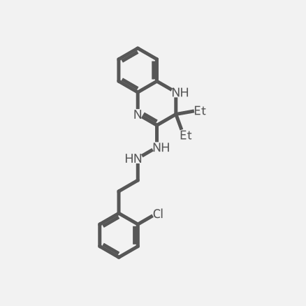 CCC1(CC)Nc2ccccc2N=C1NNCCc1ccccc1Cl